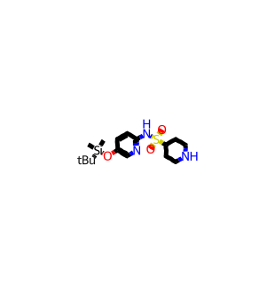 CC(C)(C)[Si](C)(C)Oc1ccc(NS(=O)(=O)C2CCNCC2)nc1